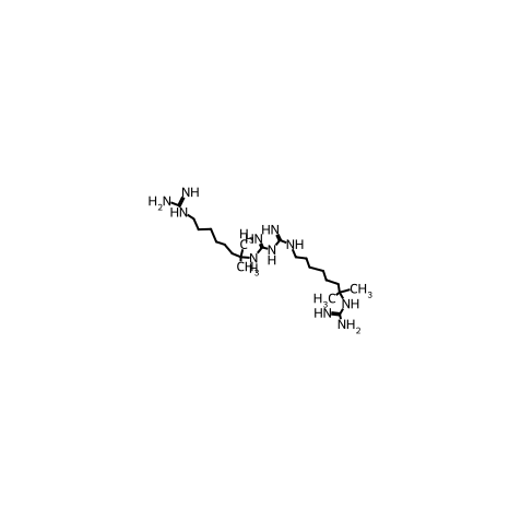 CC(C)(CCCCCCNC(=N)NC(=N)NC(C)(C)CCCCCCNC(=N)N)NC(=N)N